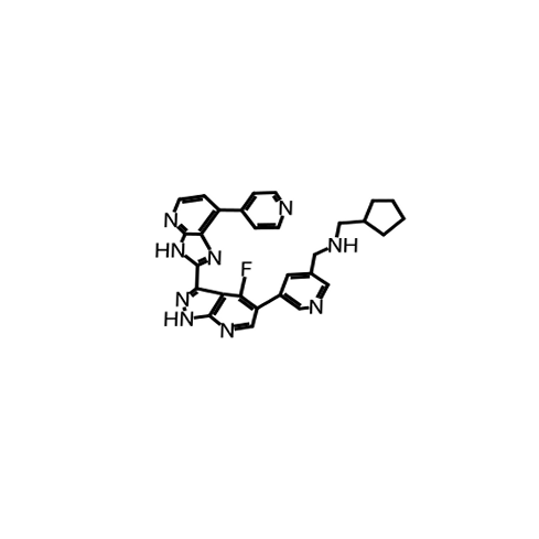 Fc1c(-c2cncc(CNCC3CCCC3)c2)cnc2[nH]nc(-c3nc4c(-c5ccncc5)ccnc4[nH]3)c12